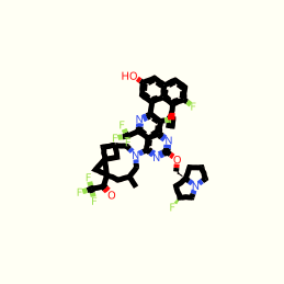 C#Cc1c(F)ccc2cc(O)cc(-c3nc(C(F)(F)F)c4c(N5CC(C)CC6(C(=O)C(F)(F)F)CC67CC(C5)C7)nc(OC[C@]56CCCN5C[C@@H](F)C6)nc4c3F)c12